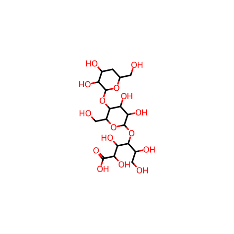 O=C(O)C(O)C(O)C(OC1OC(CO)C(OC2OC(CO)CC(O)C2O)C(O)C1O)C(O)CO